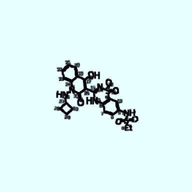 CCS(=O)(=O)Nc1ccc2c(c1)S(=O)(=O)N=C(c1c(O)c3ccccc3n(NC3CCC3)c1=O)N2